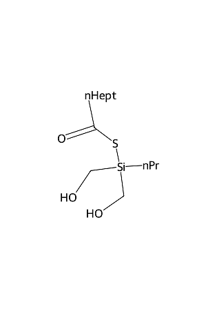 CCCCCCCC(=O)S[Si](CO)(CO)CCC